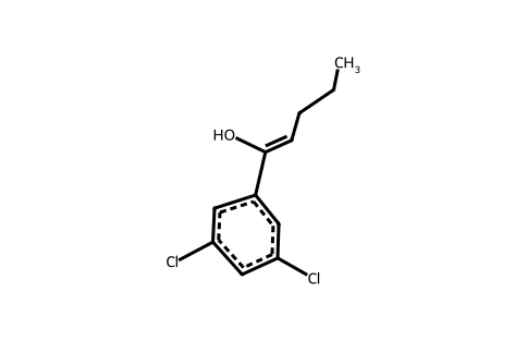 CCCC=C(O)c1cc(Cl)cc(Cl)c1